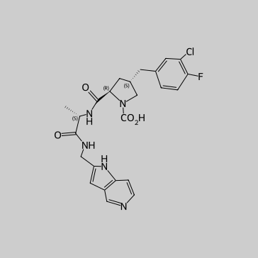 C[C@H](NC(=O)[C@H]1C[C@H](Cc2ccc(F)c(Cl)c2)CN1C(=O)O)C(=O)NCc1cc2cnccc2[nH]1